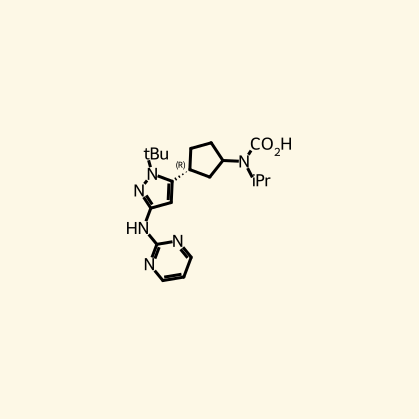 CC(C)N(C(=O)O)C1CC[C@@H](c2cc(Nc3ncccn3)nn2C(C)(C)C)C1